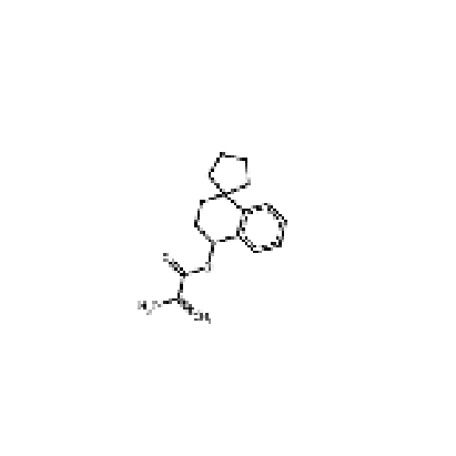 C=C(C)C(=O)OC1CCC2(CCCC2)c2ccccc21